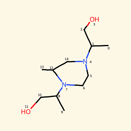 CC(CO)N1CCN(C(C)CO)C(C)C1